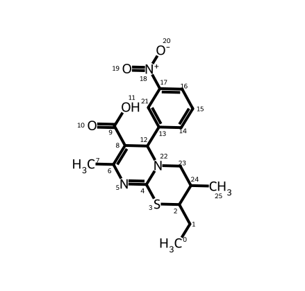 CCC1SC2=NC(C)=C(C(=O)O)C(c3cccc([N+](=O)[O-])c3)N2CC1C